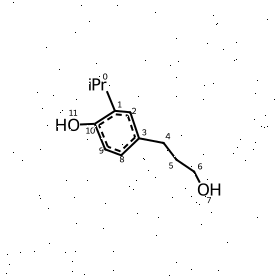 CC(C)c1cc(CCCO)ccc1O